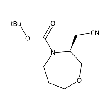 CC(C)(C)OC(=O)N1CCCOC[C@@H]1CC#N